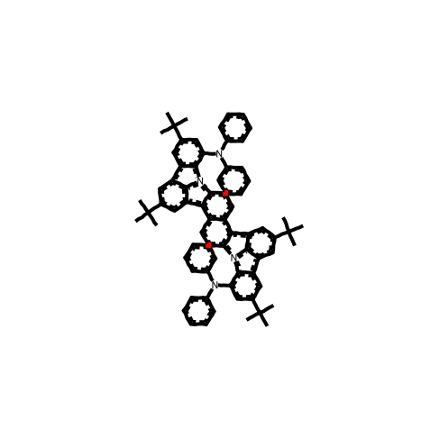 CC(C)(C)c1cc(N(c2ccccc2)c2ccccc2)c2c(c1)c1cc(C(C)(C)C)cc3c4c5ccc6c(c5ccc4n2c13)c1cc(C(C)(C)C)cc2c3cc(C(C)(C)C)cc(N(c4ccccc4)c4ccccc4)c3n6c21